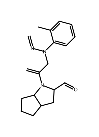 C=NN(CC(=C)N1C(C=O)CC2CCCC21)c1ccccc1C